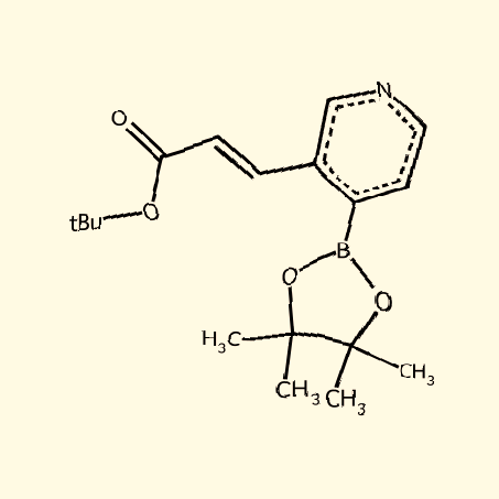 CC(C)(C)OC(=O)C=Cc1cnccc1B1OC(C)(C)C(C)(C)O1